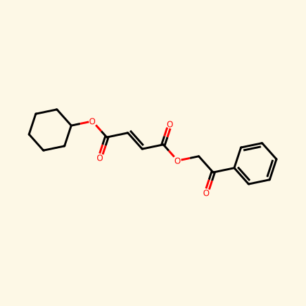 O=C(/C=C/C(=O)OC1CCCCC1)OCC(=O)c1ccccc1